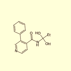 CCC(O)(O)NC(=O)c1ccn[c]c1-c1ccccc1